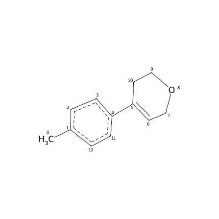 Cc1ccc(C2=CCOCC2)cc1